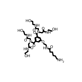 NCCCCCC(=O)NCCOc1cc(C(=O)N(CC(=O)NCCO)CC(=O)NCCO)cc(C(=O)N(CC(=O)NCCO)CC(=O)NCCO)c1